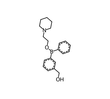 OCc1cccc(B(OCCN2CCCCC2)c2ccccc2)c1